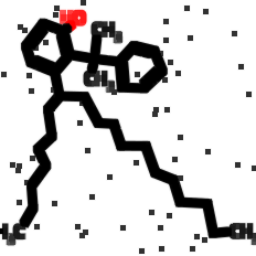 CCCCCCCCCCCC(CCCCCCC)c1cccc(O)c1C(C)(C)c1ccccc1